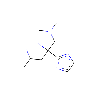 CC(N)CC(N)(CN(C)C)c1ncc[nH]1